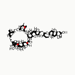 C=C1C[C@@H]2CC[C@]34O[C@H]5[C@H]6O[C@H](CC[C@@H]6O[C@@H]6[C@H]5OC5(O)[C@H]3C65O4)CC(=O)O[C@@H]3CC4OC5C[C@H](C[C@@H]6O[C@@]7(CC[C@@H]6O)C[C@H](C)[C@@H]6O[C@H](CC(=O)O)[C@H](O)C[C@@H]6O7)O[C@@H]5C[C@@H]4O[C@H]3C[C@H]3O[C@@H](CC[C@@H]1O2)C[C@@H](C)C3=C